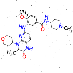 COc1ccc(C(=O)NC2CCN(C)CC2)cc1Nc1ccc2c(n1)N(C1CCOCC1)C(C)C(=O)N2